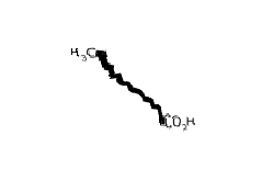 CC=CC=CC=CCC=CC=CC=CCC(=O)O